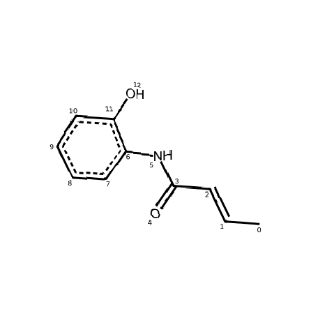 CC=CC(=O)Nc1ccccc1O